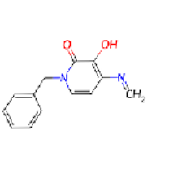 C=Nc1ccn(Cc2ccccc2)c(=O)c1O